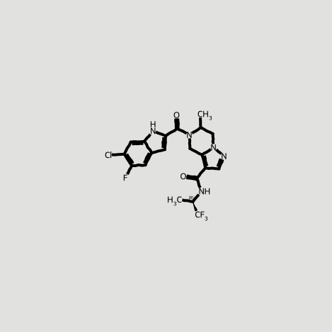 CC1Cn2ncc(C(=O)N[C@H](C)C(F)(F)F)c2CN1C(=O)c1cc2cc(F)c(Cl)cc2[nH]1